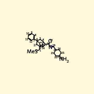 CSCC12CC3CC(c4ccccc4)(CC1C3C(=O)/N=C/C1CCC(N)CC1)C2